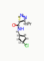 CCCc1nnsc1C(=O)NCc1ccc(Cl)cc1